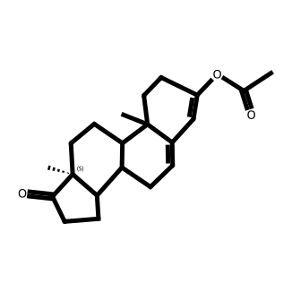 CC(=O)OC1=CC2=CCC3C(CC[C@]4(C)C(=O)CCC34)C2(C)CC1